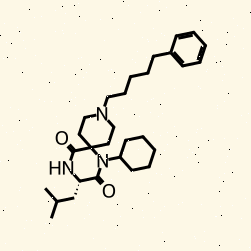 CC(C)C[C@@H]1NC(=O)C2(CCN(CCCCCc3ccccc3)CC2)N(C2CCCCC2)C1=O